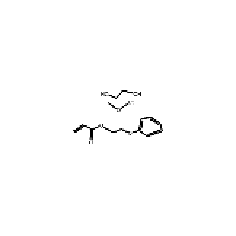 C=CC(=O)OCCOc1ccccc1.CCOCC.OCCO